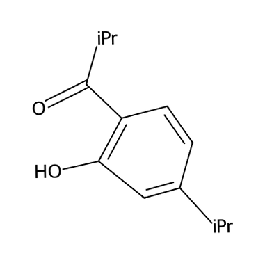 CC(C)C(=O)c1ccc(C(C)C)cc1O